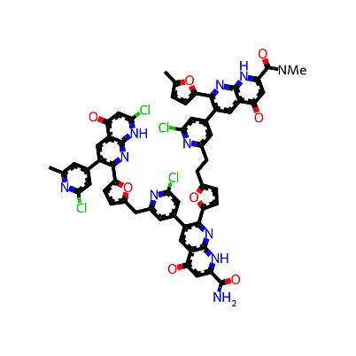 CNC(=O)c1cc(=O)c2cc(-c3cc(Cl)nc(CCc4ccc(-c5nc6[nH]c(C(N)=O)cc(=O)c6cc5-c5cc(Cl)nc(Cc6ccc(-c7nc8[nH]c(Cl)cc(=O)c8cc7-c7cc(C)nc(Cl)c7)o6)c5)o4)c3)c(-c3ccc(C)o3)nc2[nH]1